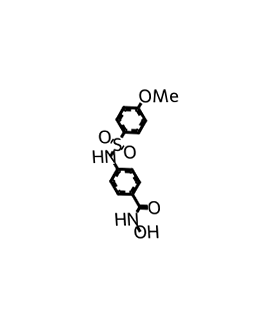 COc1ccc(S(=O)(=O)Nc2ccc(C(=O)NO)cc2)cc1